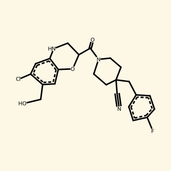 N#CC1(Cc2ccc(F)cc2)CCN(C(=O)C2CNc3cc(Cl)c(CO)cc3O2)CC1